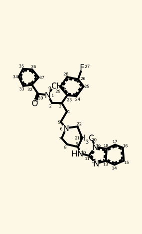 CN(CC(CCN1CCC(Nc2nc3ccccc3n2C)CC1)c1ccc(F)cc1)C(=O)c1ccccc1